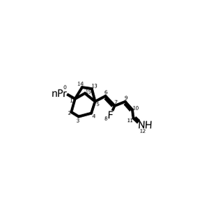 CCCC12CCCC(/C=C(F)/C=C\C=N)(CC1)C2